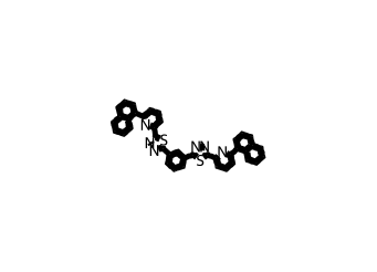 c1cc(-c2nnc(-c3cccc(-c4cccc5ccccc45)n3)s2)cc(-c2nnc(-c3cccc(-c4cccc5ccccc45)n3)s2)c1